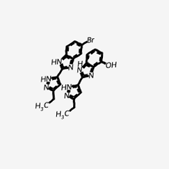 CCc1cc(-c2nc3c(O)cccc3[nH]2)[nH]n1.CCc1cc(-c2nc3cc(Br)ccc3[nH]2)[nH]n1